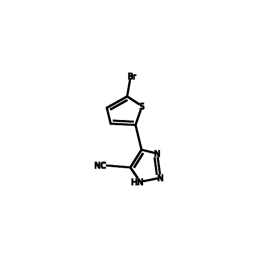 N#Cc1[nH]nnc1-c1ccc(Br)s1